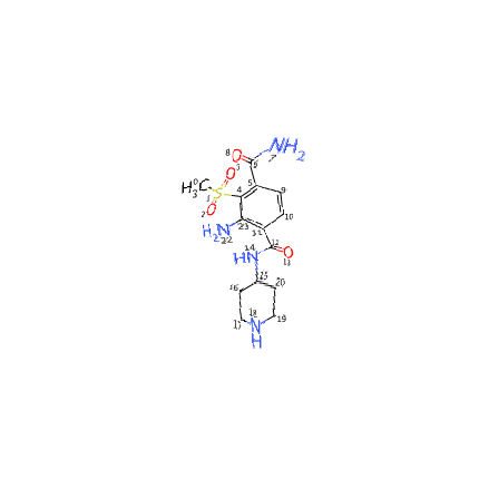 CS(=O)(=O)c1c(C(N)=O)ccc(C(=O)NC2CCNCC2)c1N